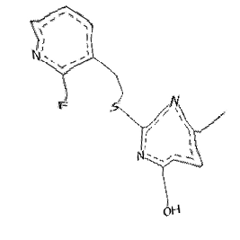 Cc1cc(O)nc(SCc2cccnc2F)n1